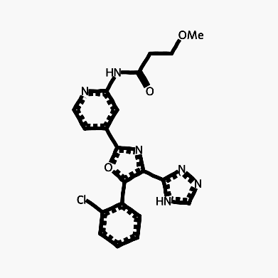 COCCC(=O)Nc1cc(-c2nc(-c3nnc[nH]3)c(-c3ccccc3Cl)o2)ccn1